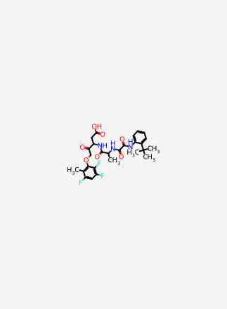 Cc1c(F)cc(F)c(F)c1OCC(=O)C(CC(=O)O)NC(=O)C(C)NC(=O)C(=O)Nc1ccccc1C(C)(C)C